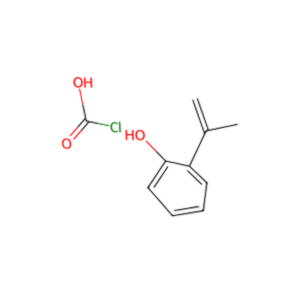 C=C(C)c1ccccc1O.O=C(O)Cl